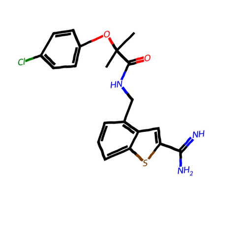 CC(C)(Oc1ccc(Cl)cc1)C(=O)NCc1cccc2sc(C(=N)N)cc12